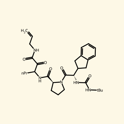 C=CCNC(=O)C(=O)C(CCC)NC(=O)[C@@H]1CCCN1C(=O)[C@@H](NC(=O)NC(C)(C)C)C1Cc2ccccc2C1